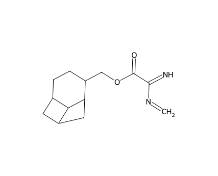 C=NC(=N)C(=O)OCC1CCC2CC3CC1C23